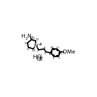 COc1ccc(CCC[N+]2(C)CCCC(N)C2)cc1.Cl.[Cl-]